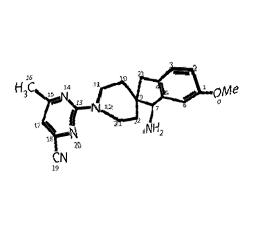 COc1ccc2c(c1)[C@@H](N)C1(CCN(c3nc(C)cc(C#N)n3)CC1)C2